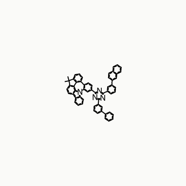 CC1(C)c2cccc3c2-c2c1ccc1c4ccccc4n(c21)-c1cc(-c2nc(-c4cccc(-c5ccccc5)c4)nc(-c4cccc(-c5ccc6ccccc6c5)c4)n2)ccc1-3